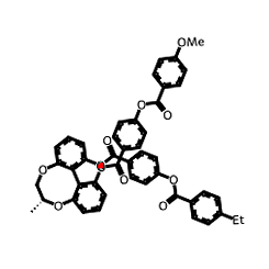 CCc1ccc(C(=O)Oc2ccc(C(=O)Oc3cccc4c3-c3c(OC(=O)c5ccc(OC(=O)c6ccc(OC)cc6)cc5)cccc3O[C@H](C)CO4)cc2)cc1